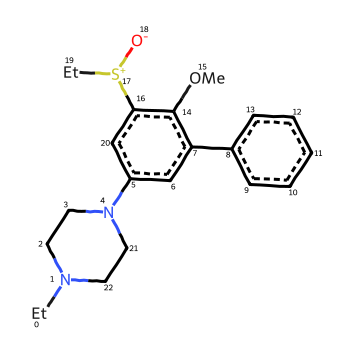 CCN1CCN(c2cc(-c3ccccc3)c(OC)c([S+]([O-])CC)c2)CC1